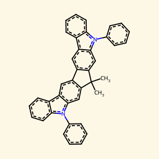 CC1(C)c2cc3c(cc2-c2cc4c5ccccc5n(-c5ccccc5)c4cc21)c1ccccc1n3-c1ccccc1